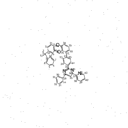 CC1(C)c2ccccc2-c2c1ccc1c2Oc2c(cccc2-c2ccc(-c3nc(-c4ccccc4)cc(-c4ccccn4)n3)cc2)O1